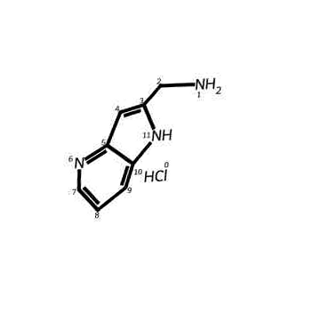 Cl.NCc1cc2ncccc2[nH]1